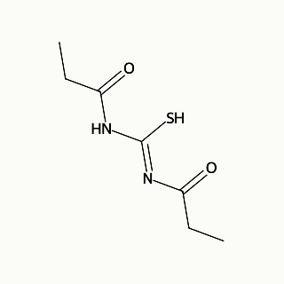 CCC(=O)/N=C(\S)NC(=O)CC